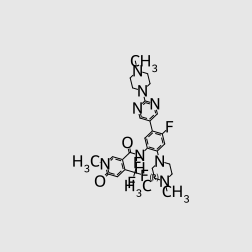 C[C@@H]1CN(c2cc(F)c(-c3cnc(N4CCN(C)CC4)nc3)cc2NC(=O)c2cn(C)c(=O)cc2C(F)(F)F)CCN1C